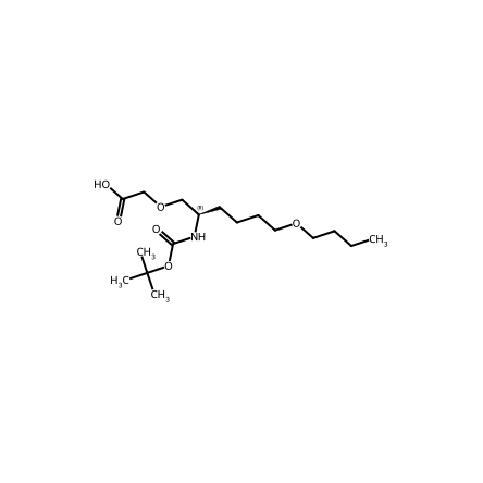 CCCCOCCCC[C@H](COCC(=O)O)NC(=O)OC(C)(C)C